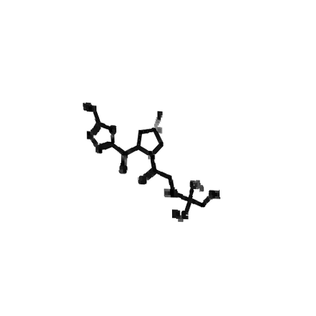 CC(C)(CO)NCC(=O)N1C[C@@H](F)CC1C(=O)c1nnc(C(C)(C)C)o1